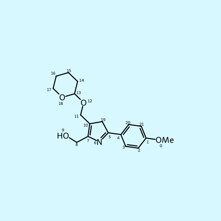 COc1ccc(C2=NC(CO)=C(COC3CCCCO3)C2)cc1